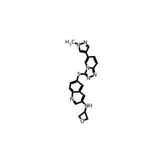 Cn1cc(-c2ccc3nnc(Sc4ccc5ncc(NC6COC6)cc5c4)n3c2)cn1